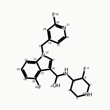 OC(NC1CCNCC1F)c1cn(Cc2ccnc(F)c2)c2cccc(F)c12